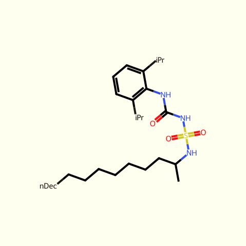 CCCCCCCCCCCCCCCCCC(C)NS(=O)(=O)NC(=O)Nc1c(C(C)C)cccc1C(C)C